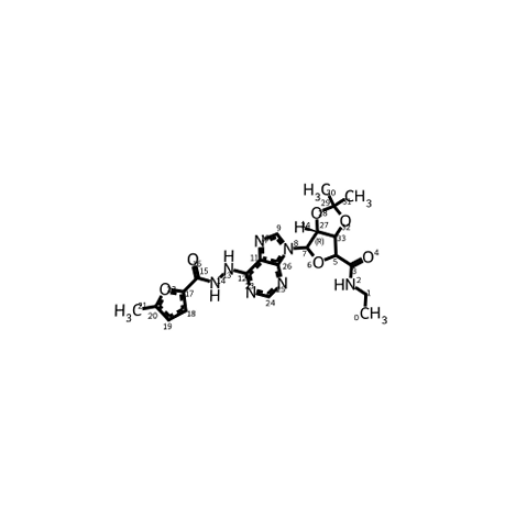 CCNC(=O)C1OC(n2cnc3c(NNC(=O)c4ccc(C)o4)ncnc32)[C@@H]2OC(C)(C)OC12